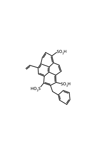 C=Cc1cc2c(S(=O)(=O)O)c(Cc3ccccc3)c(S(=O)(=O)O)c3ccc4c(S(=O)(=O)O)ccc1c4c32